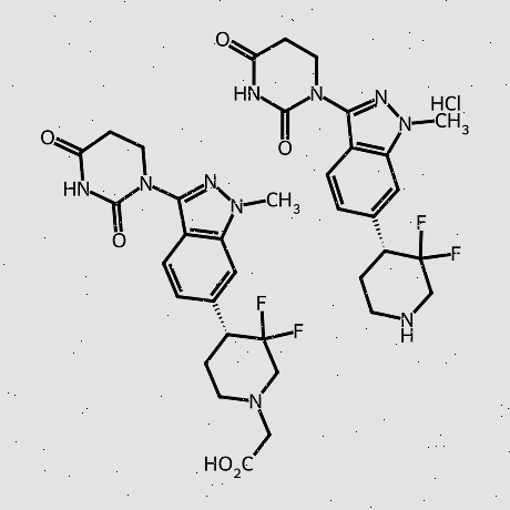 Cl.Cn1nc(N2CCC(=O)NC2=O)c2ccc([C@H]3CCN(CC(=O)O)CC3(F)F)cc21.Cn1nc(N2CCC(=O)NC2=O)c2ccc([C@H]3CCNCC3(F)F)cc21